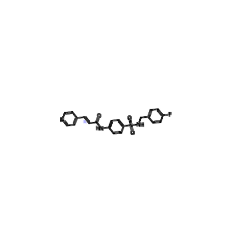 O=C(/C=C/c1ccncc1)Nc1ccc(S(=O)(=O)NCc2ccc(F)cc2)cc1